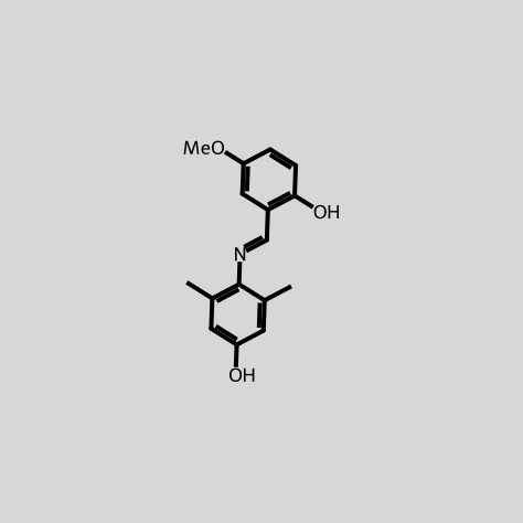 COc1ccc(O)c(C=Nc2c(C)cc(O)cc2C)c1